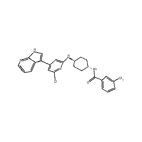 O=C(N[C@H]1CC[C@H](Nc2cc(-c3c[nH]c4ncccc34)cc(Cl)n2)CC1)c1cccc(C(F)(F)F)c1